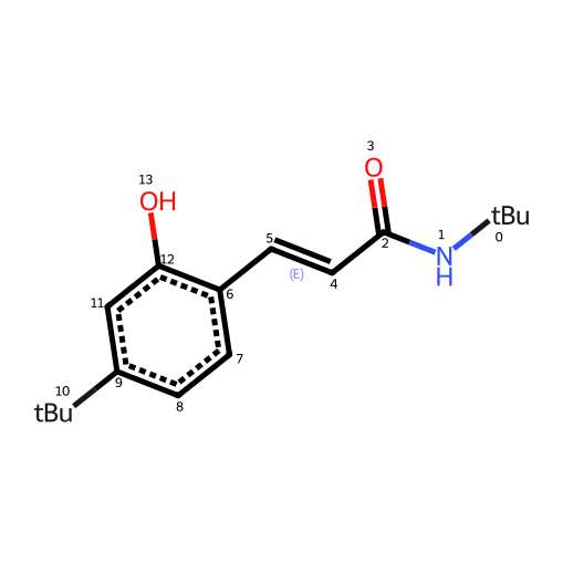 CC(C)(C)NC(=O)/C=C/c1ccc(C(C)(C)C)cc1O